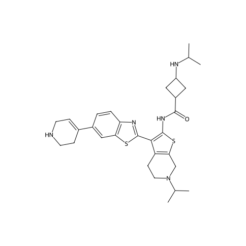 CC(C)NC1CC(C(=O)Nc2sc3c(c2-c2nc4ccc(C5=CCNCC5)cc4s2)CCN(C(C)C)C3)C1